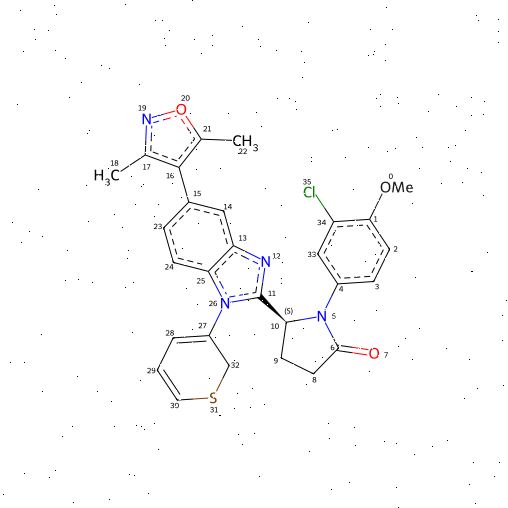 COc1ccc(N2C(=O)CC[C@H]2c2nc3cc(-c4c(C)noc4C)ccc3n2C2=CC=CSC2)cc1Cl